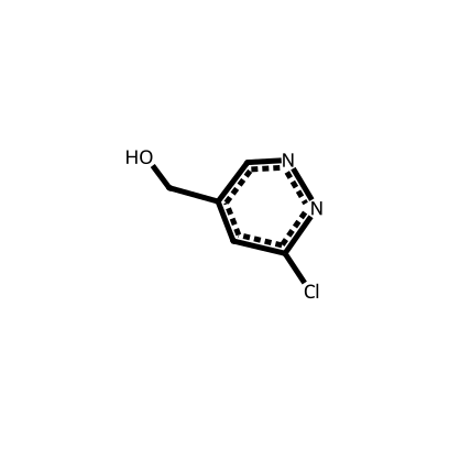 OCc1cnnc(Cl)c1